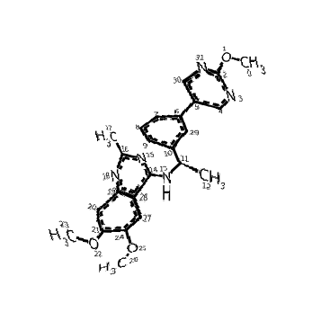 COc1ncc(-c2cccc([C@@H](C)Nc3nc(C)nc4cc(OC)c(OC)cc34)c2)cn1